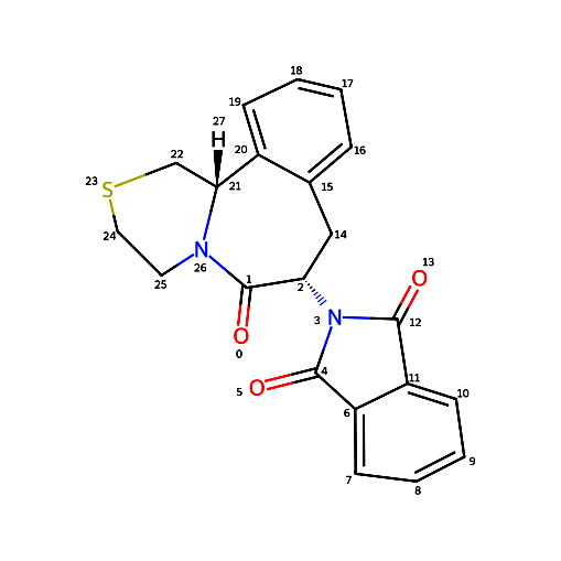 O=C1[C@@H](N2C(=O)c3ccccc3C2=O)Cc2ccccc2[C@H]2CSCCN12